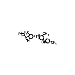 C[C@H]1C[C@@](O)(c2ccc(C(F)(F)F)cc2)C[C@@H](COc2cc(C(F)(F)F)c3c(c2)ncn3C2CC(F)(F)C2)N1